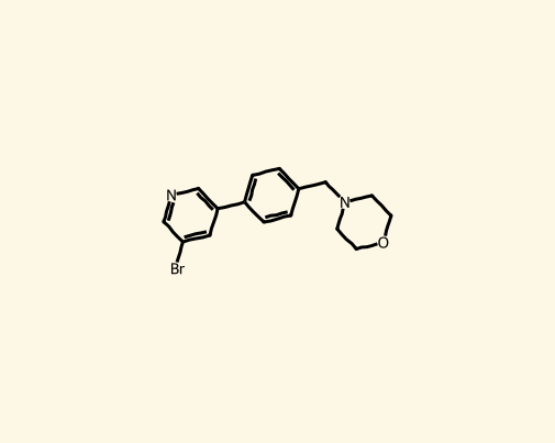 Brc1cncc(-c2ccc(CN3CCOCC3)cc2)c1